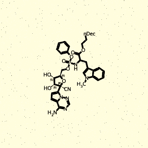 CCCCCCCCCCCCOC(=O)C(Cc1cn(C)c2ccccc12)NP(=O)(OC[C@H]1O[C@@](C#N)(c2ccc3c(N)ncnn23)[C@H](O)[C@@H]1O)Oc1ccccc1